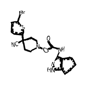 N#CC1(c2ccc(Br)s2)CCN(OC(=O)Nc2n[nH]c3ccccc23)CC1